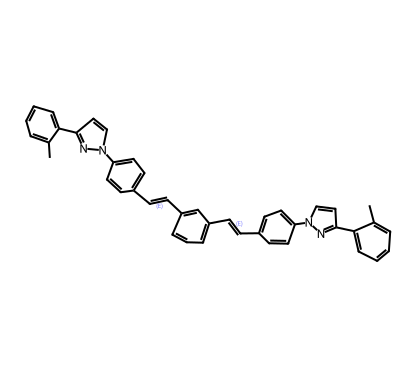 Cc1ccccc1-c1ccn(-c2ccc(/C=C/c3cccc(/C=C/c4ccc(-n5ccc(-c6ccccc6C)n5)cc4)c3)cc2)n1